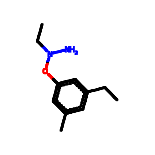 CCc1cc(C)cc(ON(N)CC)c1